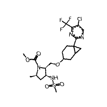 COC(=O)N1[C@H](C)C[C@H](NS(C)(=O)=O)[C@@H]1COC1CCC2(c3ncc(Cl)c(C(F)(F)F)n3)CC2C1